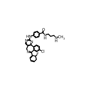 CNCCCNC(=O)c1ccc(Nc2ncc3c(n2)-c2ccc(Cl)cc2C(C2=CC=CCC2F)=NC3)cc1